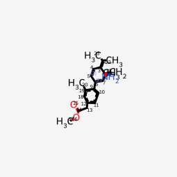 C=C(N)C(/C=C\C(=C/C)c1ccc(CC(=O)OC)cc1C)=C(C)C